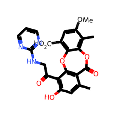 COc1cc(C(=O)O)c2c(c1C)OC(=O)c1c(C)cc(O)c(C(=O)CNc3ncccn3)c1O2